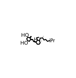 C=C1/C(=C/C=C2/CCC[C@]3(C)[C@@H]([C@H](C)CCCC(C)C)CC[C@@H]23)C[C@@H](O)C[C@@H]1O